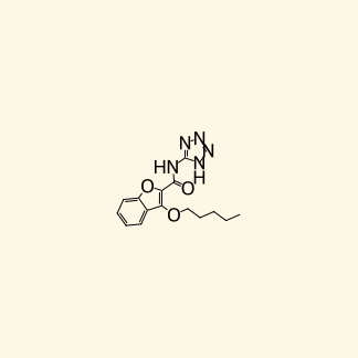 CCCCCOc1c(C(=O)Nc2nnn[nH]2)oc2ccccc12